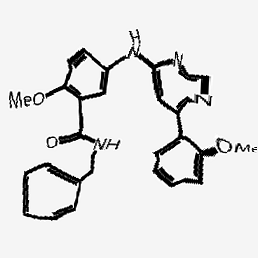 COc1ccc(Nc2cc(-c3ccccc3OC)ncn2)cc1C(=O)NCc1ccccc1